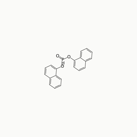 O=[PH](Oc1cccc2ccccc12)Oc1cccc2ccccc12